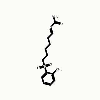 Cc1ccccc1S(=O)(=O)CCCCCC=NC(N)=O